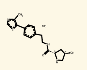 Cc1ncsc1-c1ccc(CCNC(=O)[C@@H]2C[C@@H](O)CN2)cc1.Cl